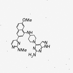 CNc1nccc(-c2cc(NC3CCN(c4nc(N)nc5[nH]ncc45)CC3)c3cc(OC)ccc3c2)n1